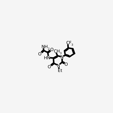 CCn1c(=O)c(NC(=O)C(N)=O)c(C)n(-c2cccc(C(F)(F)F)c2)c1=O